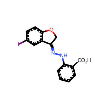 O=C(O)c1ccccc1N/N=C1\COc2ccc(I)cc21